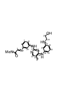 CNC(=O)/C=N/c1cccc(Nc2ncc(F)c(Nc3cccc(NCCO)c3)n2)c1